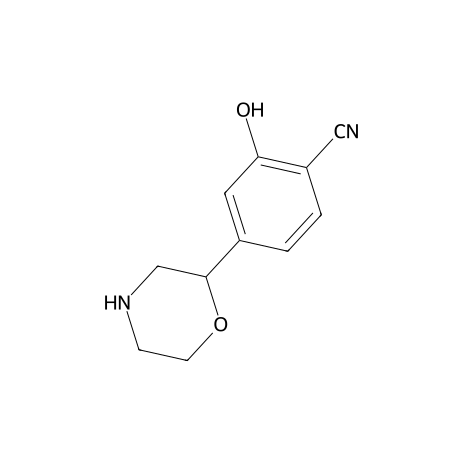 N#Cc1ccc(C2CNCCO2)cc1O